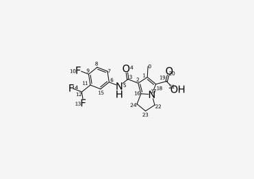 Cc1c(C(=O)Nc2ccc(F)c(C(F)F)c2)c2n(c1C(=O)O)CCC2